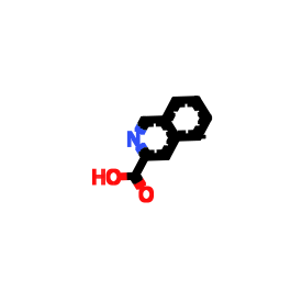 O=C(O)c1cc2[c]cccc2cn1